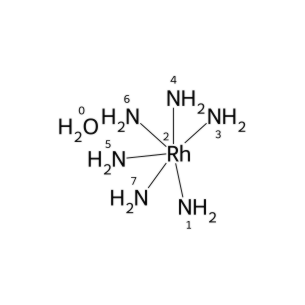 O.[NH2][Rh]([NH2])([NH2])([NH2])([NH2])[NH2]